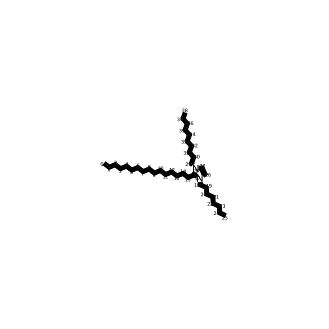 CCCCCCCCCCCCCCCCC1N(CCCCCCCC)C=CN1CCCCCCCCCC